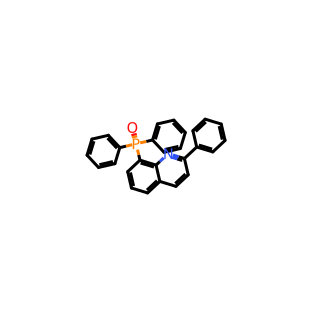 O=P(c1ccccc1)(c1ccccc1)c1cccc2ccc(-c3ccccc3)nc12